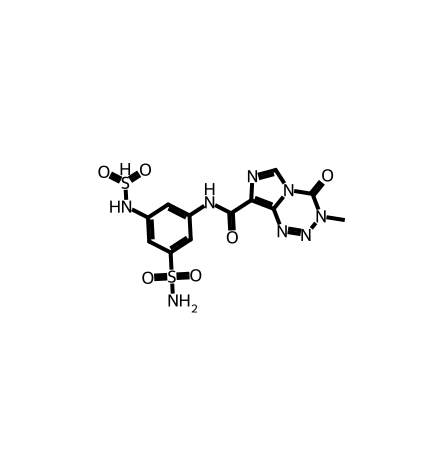 Cn1nnc2c(C(=O)Nc3cc(N[SH](=O)=O)cc(S(N)(=O)=O)c3)ncn2c1=O